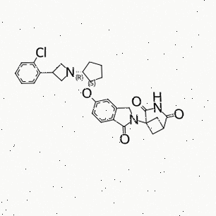 O=C1NC(=O)C2(N3Cc4cc(O[C@H]5CCC[C@H]5N5CC(c6ccccc6Cl)C5)ccc4C3=O)CC1C2